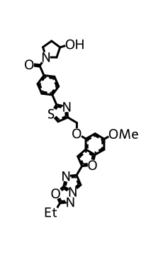 CCc1nn2cc(-c3cc4c(OCc5csc(-c6ccc(C(=O)N7CCC(O)C7)cc6)n5)cc(OC)cc4o3)nc2o1